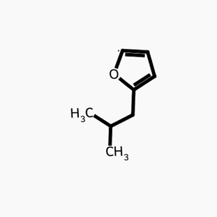 CC(C)Cc1cc[c]o1